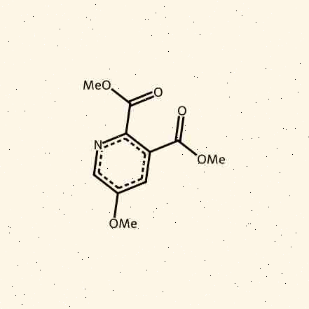 COC(=O)c1cc(OC)cnc1C(=O)OC